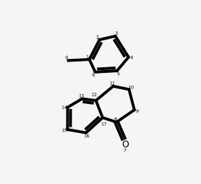 Cc1ccccc1.O=C1CCCc2ccccc21